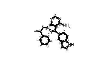 CC(Cn1nc(-c2ccc3[nH]ccc3c2)c2c(N)ncnc21)c1ccccc1